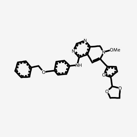 CON1Cc2ncnc(Nc3ccc(OCc4ccccc4)cc3)c2C=C1c1ccc(C2OCCO2)o1